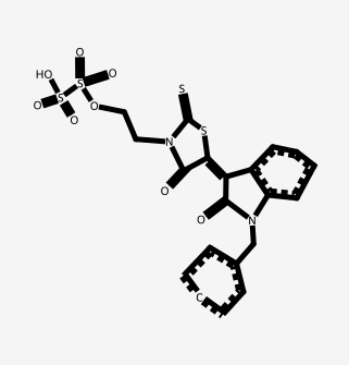 O=C1C(=C2C(=O)N(Cc3ccccc3)c3ccccc32)SC(=S)N1CCOS(=O)(=O)S(=O)(=O)O